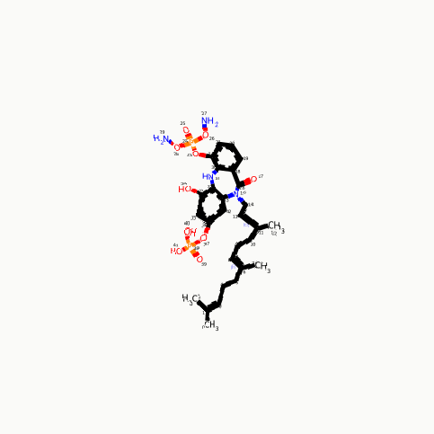 CC(C)=CCC/C(C)=C/CC/C(C)=C/CN1C(=O)c2cccc(OP(=O)(ON)ON)c2Nc2c(O)cc(OP(=O)(O)O)cc21